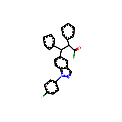 O=C(F)C(c1ccccc1)C(c1ccccc1)c1ccc2c(cnn2-c2ccc(F)cc2)c1